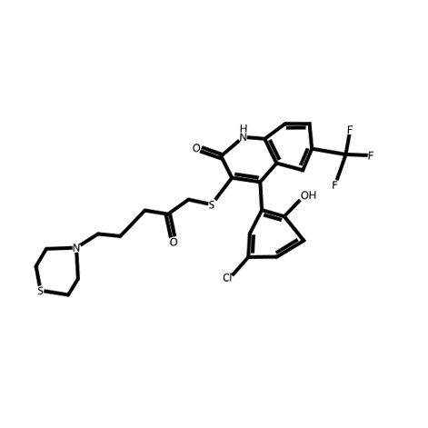 O=C(CCCN1CCSCC1)CSc1c(-c2cc(Cl)ccc2O)c2cc(C(F)(F)F)ccc2[nH]c1=O